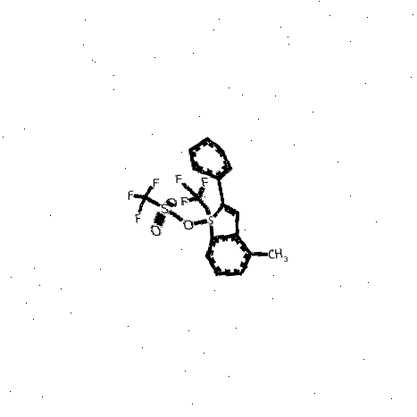 Cc1cccc2c1C=C(c1ccccc1)S2(OS(=O)(=O)C(F)(F)F)C(F)(F)F